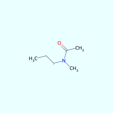 CC[CH]N(C)C(C)=O